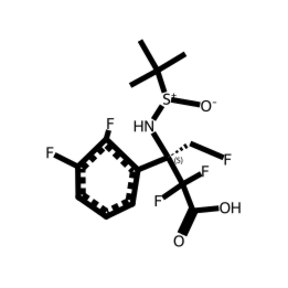 CC(C)(C)[S+]([O-])N[C@](CF)(c1cccc(F)c1F)C(F)(F)C(=O)O